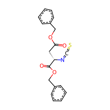 O=C(C[C@H](N=C=S)C(=O)OCc1ccccc1)OCc1ccccc1